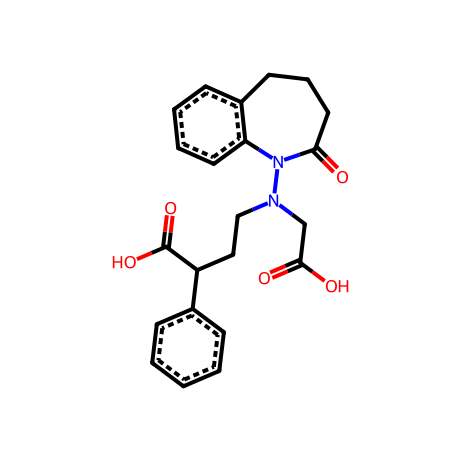 O=C(O)CN(CCC(C(=O)O)c1ccccc1)N1C(=O)CCCc2ccccc21